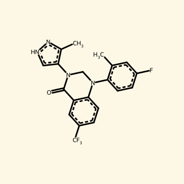 Cc1cc(F)ccc1N1CN(c2c[nH]nc2C)C(=O)c2cc(C(F)(F)F)ccc21